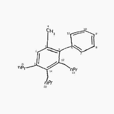 CCCc1[c]c(C)c(-c2ccccc2)c(CCC)c1CCC